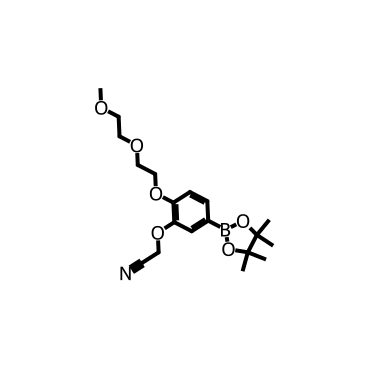 COCCOCCOc1ccc(B2OC(C)(C)C(C)(C)O2)cc1OCC#N